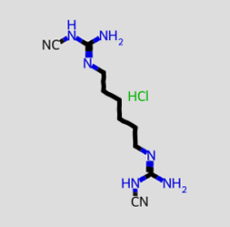 Cl.N#CNC(N)=NCCCCCCN=C(N)NC#N